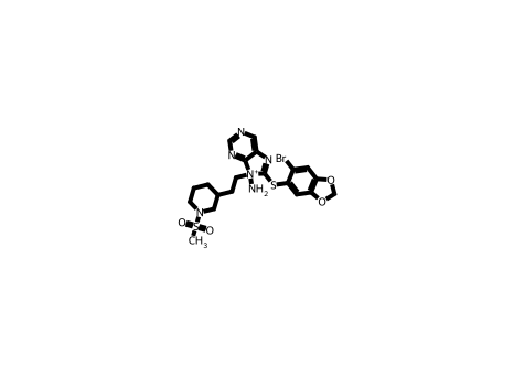 CS(=O)(=O)N1CCCC(CC[N+]2(N)C(Sc3cc4c(cc3Br)OCO4)=Nc3cncnc32)C1